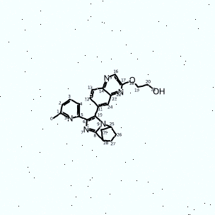 Cc1cccc(-c2nc3n(c2-c2ccc4ncc(OCCO)nc4c2)C2CCC3C2)n1